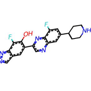 Cn1cc2cc(-c3cnc4cc(C5CCNCC5)cc(F)c4n3)c(O)c(F)c2n1